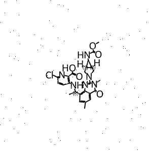 COC(=O)NC1[C@H]2CN(c3nc4c([C@@H](C)Nc5ccc(Cl)nc5C(=O)O)cc(C)cc4c(=O)n3C)C[C@@H]12